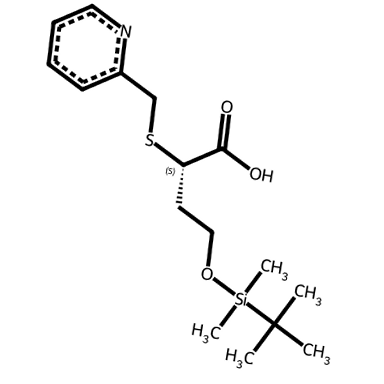 CC(C)(C)[Si](C)(C)OCC[C@H](SCc1ccccn1)C(=O)O